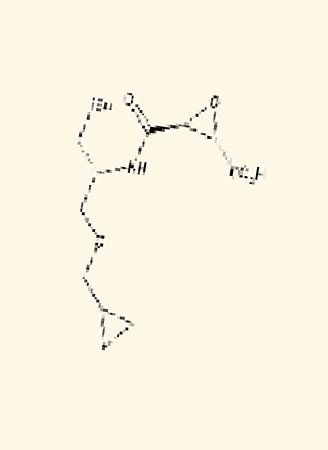 CCC(C)C[C@@H](COCC1CC1)NC(=O)[C@H]1O[C@@H]1C(=O)O